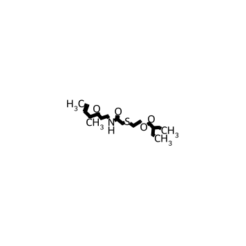 CC=CC(C)C(=O)CCNC(=O)CSCCOC(=O)C(CC)CC